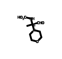 C[C@](C=O)(NC(=O)O)N1CCOCC1